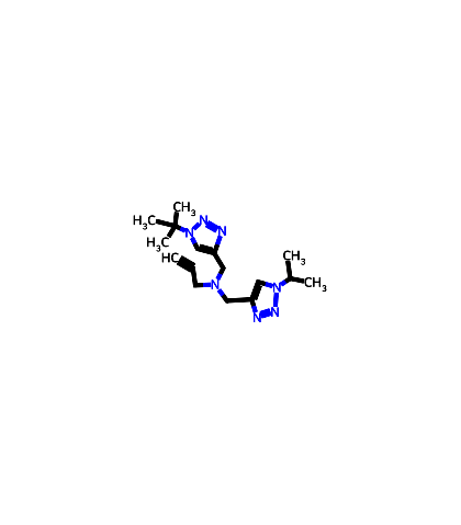 C#CCN(Cc1cn(C(C)C)nn1)Cc1cn(C(C)(C)C)nn1